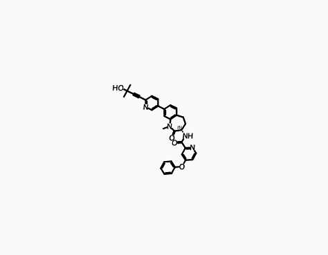 CN1C(=O)[C@@H](NC(=O)c2cc(Oc3ccccc3)ccn2)CCc2ccc(-c3ccc(C#CC(C)(C)O)nc3)cc21